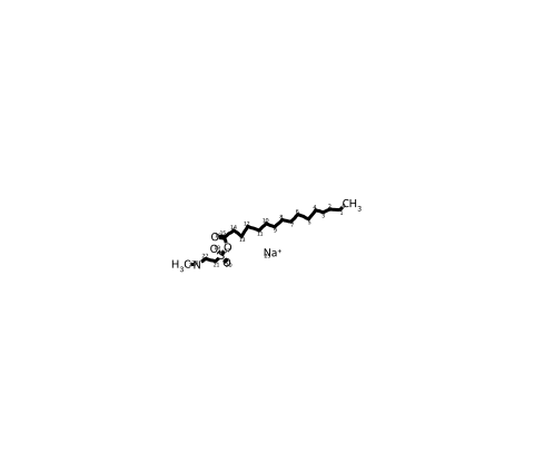 CCCCCCCCCCCCCCCC(=O)OS(=O)(=O)CC[N-]C.[Na+]